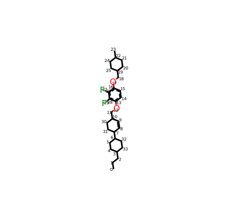 CCCC1CCC(C2C=CC(COc3ccc(OCC4CCC(C)CC4)c(F)c3F)CC2)CC1